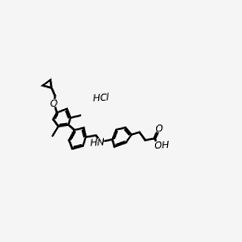 Cc1cc(OCC2CC2)cc(C)c1-c1cccc(CNc2ccc(CCC(=O)O)cc2)c1.Cl